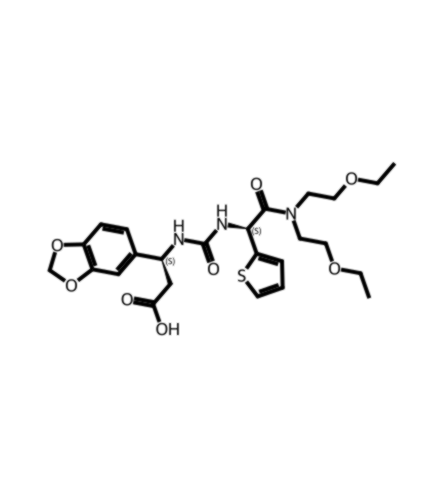 CCOCCN(CCOCC)C(=O)[C@H](NC(=O)N[C@@H](CC(=O)O)c1ccc2c(c1)OCO2)c1cccs1